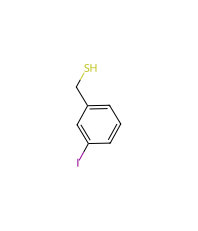 SCc1cccc(I)c1